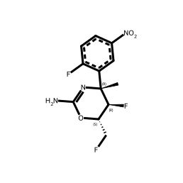 C[C@]1(c2cc([N+](=O)[O-])ccc2F)N=C(N)O[C@@H](CF)[C@@H]1F